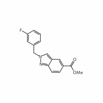 COC(=O)c1ccc2nn(Cc3cccc(F)c3)cc2c1